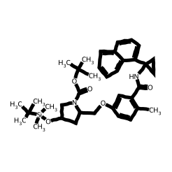 Cc1ccc(OCC2CC(O[Si](C)(C)C(C)(C)C)CN2C(=O)OC(C)(C)C)cc1C(=O)NC1(c2cccc3ccccc23)CC1